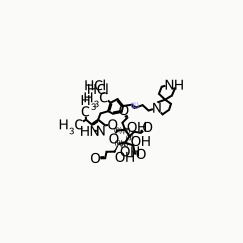 Cc1cc(/C=C/CCN2CCCC3(CCNCC3)C2)ccc1Cc1c(O[C@H]2O[C@H](C(O)CC=O)[C@](O)(CC=O)[C@@](O)(CC=O)[C@]2(O)CC=O)n[nH]c1C(C)C.Cl.Cl